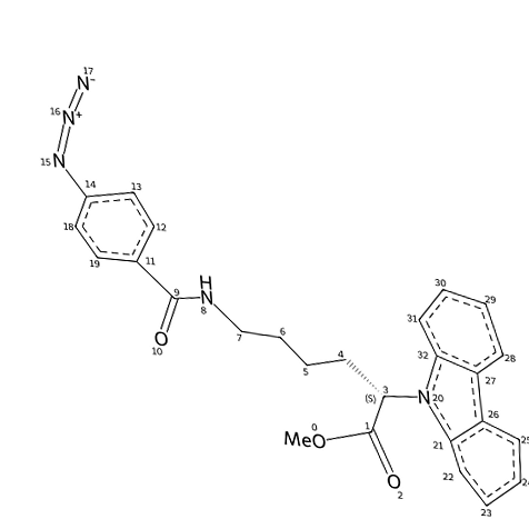 COC(=O)[C@H](CCCCNC(=O)c1ccc(N=[N+]=[N-])cc1)n1c2ccccc2c2ccccc21